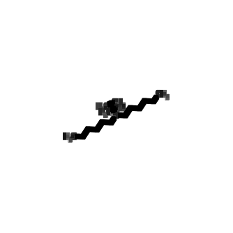 C=C.C=C.CCCCCCOCCCCCC